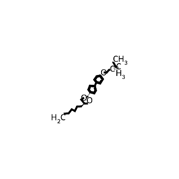 C=CCCCCC[C@H]1CO[C@H](c2ccc(-c3ccc(OCCC[C@@H](C)CC)cc3)cc2)OC1